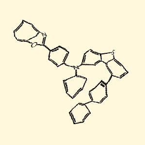 c1ccc(-c2ccc(-c3cccc4sc5ccc(N(c6ccccc6)c6ccc(-c7nc8ccccc8o7)cc6)cc5c34)cc2)cc1